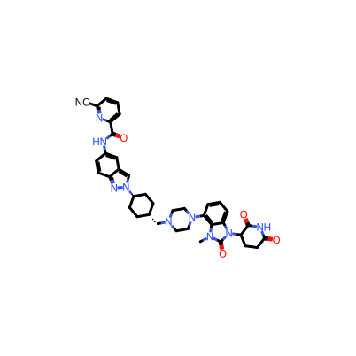 Cn1c(=O)n(C2CCC(=O)NC2=O)c2cccc(N3CCN(C[C@H]4CC[C@H](n5cc6cc(NC(=O)c7cccc(C#N)n7)ccc6n5)CC4)CC3)c21